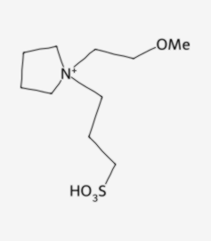 COCC[N+]1(CCCS(=O)(=O)O)CCCC1